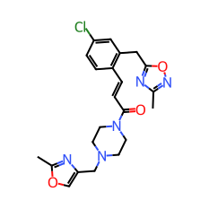 Cc1noc(Cc2cc(Cl)ccc2/C=C/C(=O)N2CCN(Cc3coc(C)n3)CC2)n1